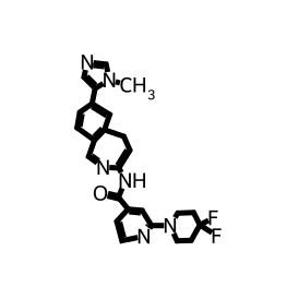 Cn1cncc1-c1ccc2c(c1)CC=C(NC(=O)c1ccnc(N3CCC(F)(F)CC3)c1)N=C2